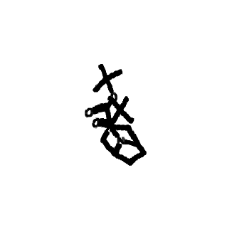 CC(C)(C)OC(=O)N1CC2CCC(C1)N2C(=O)C(C)(C)C